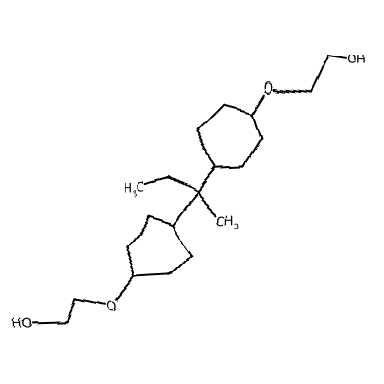 CCC(C)(C1CCC(OCCO)CC1)C1CCC(OCCO)CC1